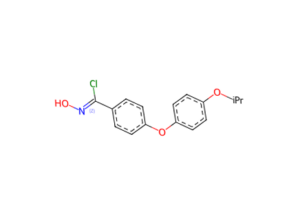 CC(C)Oc1ccc(Oc2ccc(/C(Cl)=N/O)cc2)cc1